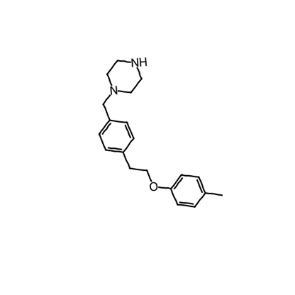 Cc1ccc(OCCc2ccc(CN3CCNCC3)cc2)cc1